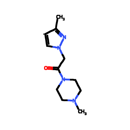 Cc1[c]cn(CC(=O)N2CCN(C)CC2)n1